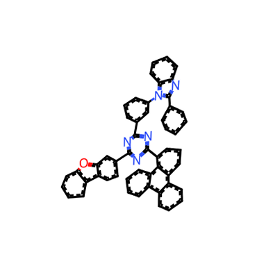 c1ccc(-c2nc3ccccc3n2-c2cccc(-c3nc(-c4ccc5c(c4)oc4ccccc45)nc(-c4cccc5c6ccccc6c6ccccc6c45)n3)c2)cc1